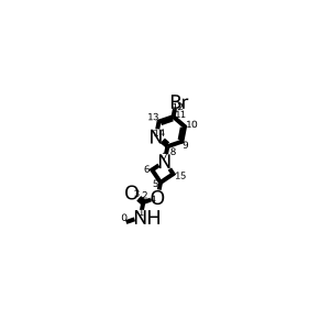 CNC(=O)OC1CN(c2ccc(Br)cn2)C1